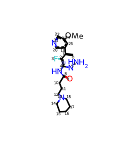 C=C(/C(F)=C(\NN)NC(=O)CCCN1CCCCC1)c1cncc(OC)c1